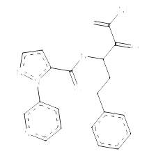 NC(=O)C(=O)C(CCc1ccccc1)NC(=O)c1ccnn1-c1cccnc1